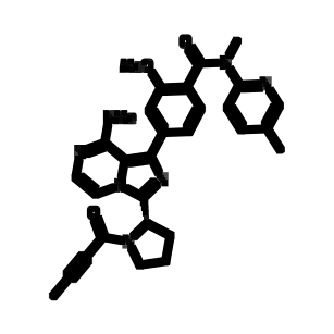 CC#CC(=O)N1CCC[C@H]1c1nc(-c2ccc(C(=O)N(C)c3ccc(C)cn3)c(OC)c2)c2c(NC)nccn12